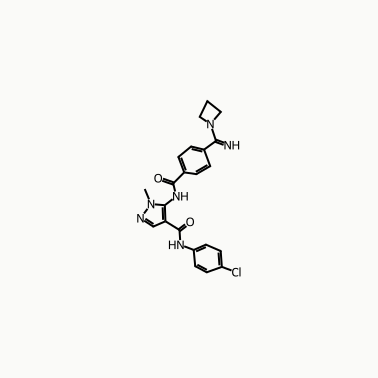 Cn1ncc(C(=O)Nc2ccc(Cl)cc2)c1NC(=O)c1ccc(C(=N)N2CCC2)cc1